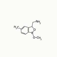 COB1OC(CN)c2cc(C)ccc21